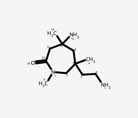 CN1CC(C)(CCN)CC(C)(N)CC1=O